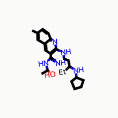 CCC(CCNc1nc2ccc(C)cc2cc1C(=N)NC(C)O)NC1CCCC1